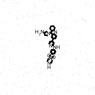 N[C@H]1CCN(c2c3c(nc4ccc(-c5ccnc(Nc6ccc(S(=O)(=O)N7CCNCC7)cc6)c5)cc24)CCCC3)C1